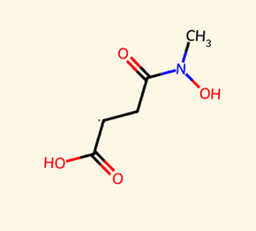 CN(O)C(=O)C[CH]C(=O)O